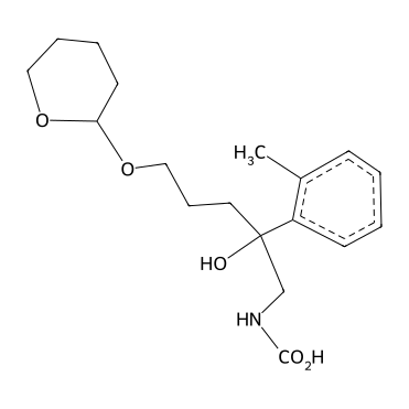 Cc1ccccc1C(O)(CCCOC1CCCCO1)CNC(=O)O